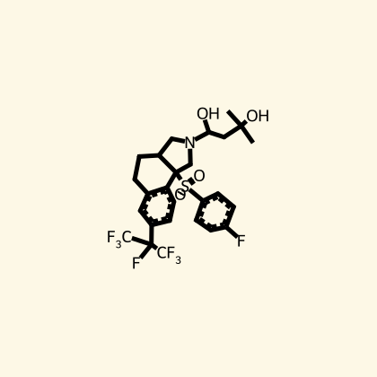 CC(C)(O)CC(O)N1CC2CCc3cc(C(F)(C(F)(F)F)C(F)(F)F)ccc3C2(S(=O)(=O)c2ccc(F)cc2)C1